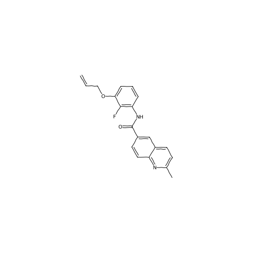 C=CCOc1cccc(NC(=O)c2ccc3nc(C)ccc3c2)c1F